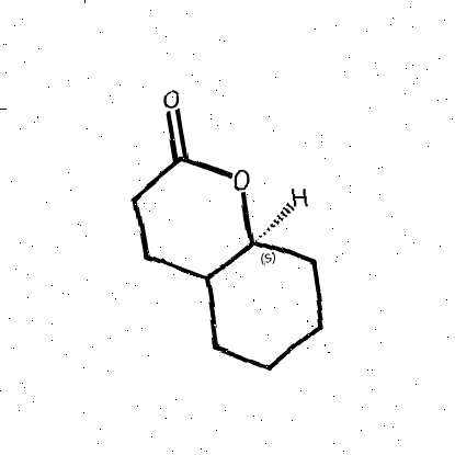 O=C1CCC2CCCC[C@@H]2O1